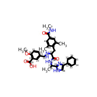 CNC(=O)c1cc(C)c(CC(NCc2ccc(OC)c(C(=O)O)c2)C(=O)NC(C)c2nc(-c3ccccc3)c[nH]2)c(C)c1